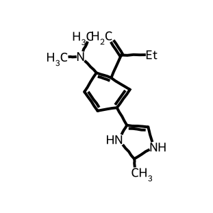 C=C(CC)c1cc(C2=CNC(C)N2)ccc1N(C)C